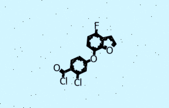 O=C(Cl)c1ccc(Oc2ccc(F)c3ccoc23)cc1Cl